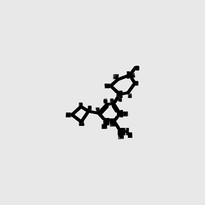 CN1CCN(c2cc(C3CCC3)nc(N)n2)CC1